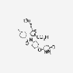 Cn1nc(O[C@H]2CC[C@H](N(c3cc(C#CC(C)(C)C)sc3C(=O)O)C(=O)[C@H]3CC[C@H](C)CC3)CC2)ccc1=O